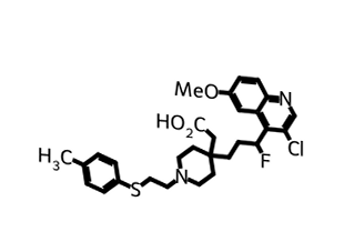 COc1ccc2ncc(Cl)c(C(F)CCC3(CC(=O)O)CCN(CCSc4ccc(C)cc4)CC3)c2c1